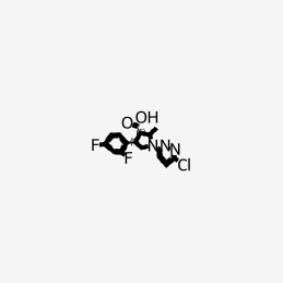 CC1[C@@H](C(=O)O)[C@H](c2ccc(F)cc2F)CN1c1ccc(Cl)nn1